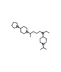 CCN(CCCC(C)N1CCC(N2CCCC2)CC1)C1CCN(C(C)C)CC1